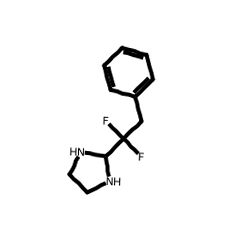 FC(F)(Cc1ccccc1)C1NCCN1